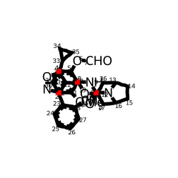 COc1cccc(OC=O)c1NC(=O)N1C2CCC1CC(OCc1c(-c3ccccc3C)noc1C1CC1)C2